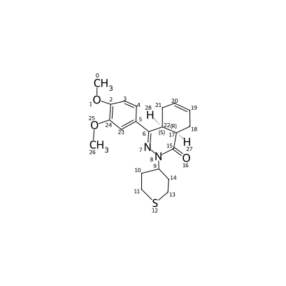 COc1ccc(C2=NN(C3CCSCC3)C(=O)[C@@H]3CC=CC[C@H]23)cc1OC